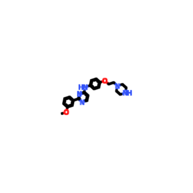 COc1cccc(-c2nccc(Nc3ccc(OCCN4CCNCC4)cc3)n2)c1